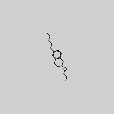 CCCCCc1ccc2c(c1)CCC(OCCC)C2